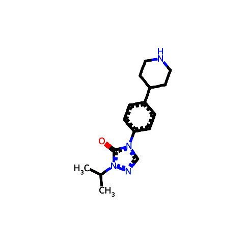 CC(C)n1ncn(-c2ccc(C3CCNCC3)cc2)c1=O